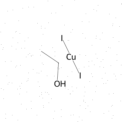 CCO.[I][Cu][I]